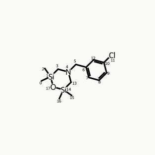 C[Si]1(C)CN(Cc2cccc(Cl)c2)C[Si](C)(C)O1